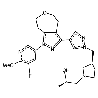 COc1ncc(-n2nc(-c3cnn(C[C@H]4CCN(C[C@@H](C)O)C4)c3)c3c2CCOCC3)cc1F